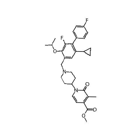 COC(=O)c1ccn(C2CCN(Cc3cc(C4CC4)c(-c4ccc(F)cc4)c(F)c3OC(C)C)CC2)c(=O)c1C